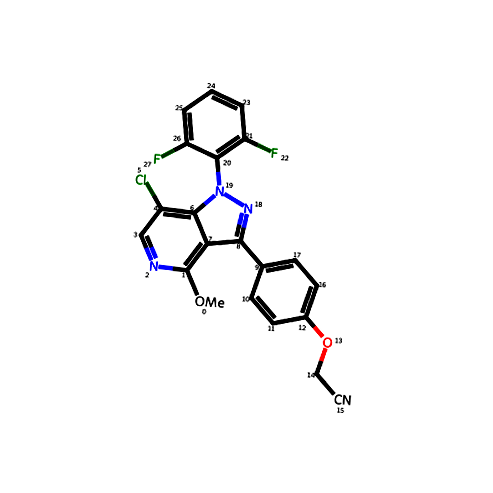 COc1ncc(Cl)c2c1c(-c1ccc(OCC#N)cc1)nn2-c1c(F)cccc1F